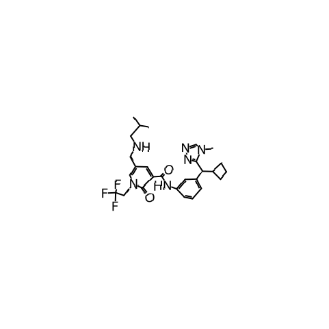 CC(C)CNCc1cc(C(=O)Nc2cccc(C(c3nncn3C)C3CCC3)c2)c(=O)n(CC(F)(F)F)c1